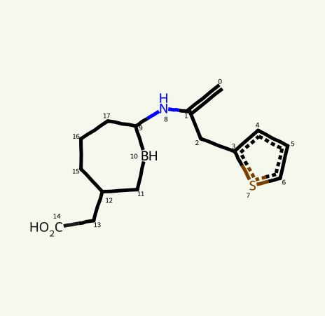 C=C(Cc1cccs1)NC1BCC(CC(=O)O)CCC1